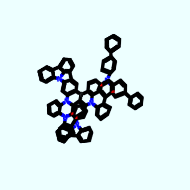 c1ccc(-c2ccc(N(c3ccc(-c4ccccc4)cc3)c3ccc4c(c3)N(c3ccccc3-c3ccccc3)c3cc(-n5c6ccccc6c6ccccc65)cc5c3B4c3cc4c6cccc7c8ccccc8n(c4cc3N5c3ccccc3-n3c4ccccc4c4ccccc43)c76)cc2)cc1